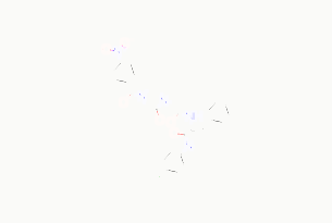 CN(C(=O)[C@H](Cc1ccccc1)NC(=O)CN1CCN(C(=O)c2ccc([N+](=O)[O-])cc2)CC1=O)c1ccc(Cl)cc1